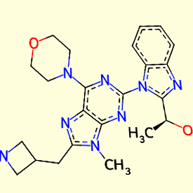 C[C@H](O)c1nc2ccccc2n1-c1nc(N2CCOCC2)c2nc(CC3CNC3)n(C)c2n1